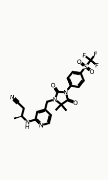 C[C@@H](CC#N)Nc1cc(CN2C(=O)N(c3ccc(S(=O)(=O)C(F)(F)F)cc3)C(=O)C2(C)C)ccn1